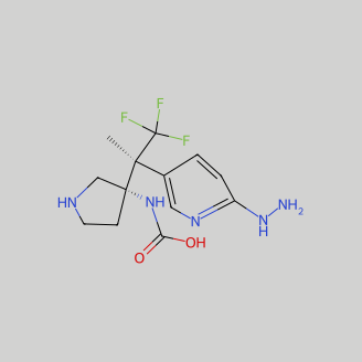 C[C@@](c1ccc(NN)nc1)(C(F)(F)F)[C@@]1(NC(=O)O)CCNC1